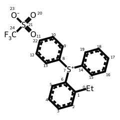 CCc1ccccc1[S+](c1ccccc1)c1ccccc1.O=S(=O)([O-])C(F)(F)F